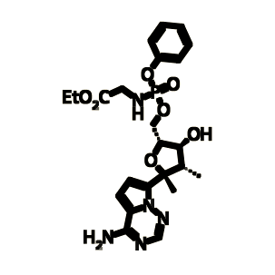 CCOC(=O)CNP(=O)(OC[C@H]1O[C@@](C)(c2ccc3c(N)ncnn23)[C@@H](C)[C@@H]1O)Oc1ccccc1